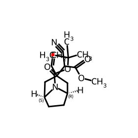 C=CC1(C(C#N)C(=O)OC)C[C@H]2CC[C@@H](C1)N2C(=O)OC(C)(C)C